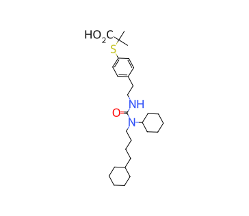 CC(C)(Sc1ccc(CCNC(=O)N(CCCCC2CCCCC2)C2CCCCC2)cc1)C(=O)O